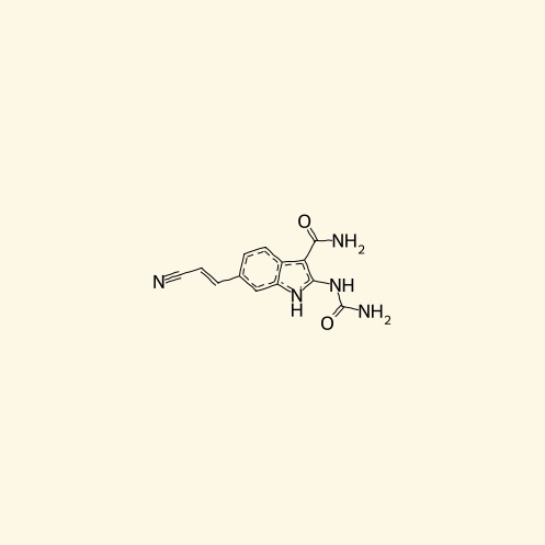 N#CC=Cc1ccc2c(C(N)=O)c(NC(N)=O)[nH]c2c1